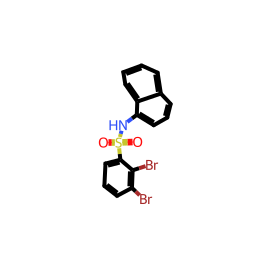 O=S(=O)(Nc1cccc2ccccc12)c1cccc(Br)c1Br